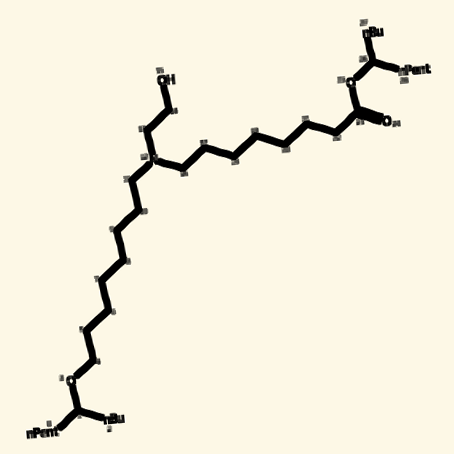 CCCCCC(CCCC)OCCCCCCCCN(CCO)CCCCCCCC(=O)OC(CCCC)CCCCC